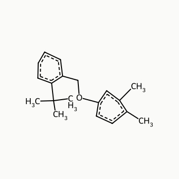 Cc1ccc(OCc2ccccc2C(C)(C)C)cc1C